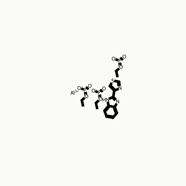 CCO[PH](=O)[O-].CCO[PH](=O)[O-].CCO[PH](=O)[O-].[Al+3].c1ccc2[nH]c(-c3cscn3)nc2c1